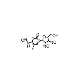 O=NNc1nc(=O)n(C2OC(CO)C(N=O)C2N=O)cc1F